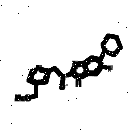 COCc1ccnc(C[S+]([O-])c2nc3cc(N4CCCCC4)c(F)cc3[nH]2)c1